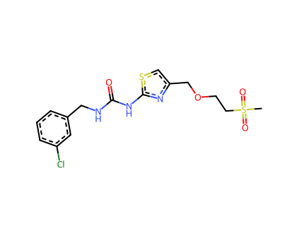 CS(=O)(=O)CCOCc1csc(NC(=O)NCc2cccc(Cl)c2)n1